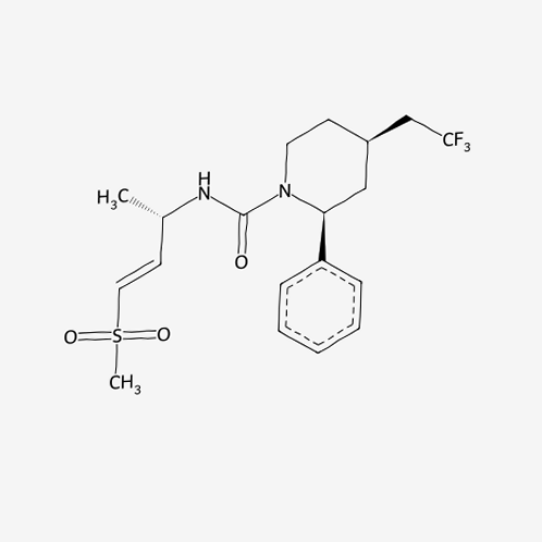 C[C@@H](/C=C/S(C)(=O)=O)NC(=O)N1CC[C@@H](CC(F)(F)F)C[C@H]1c1ccccc1